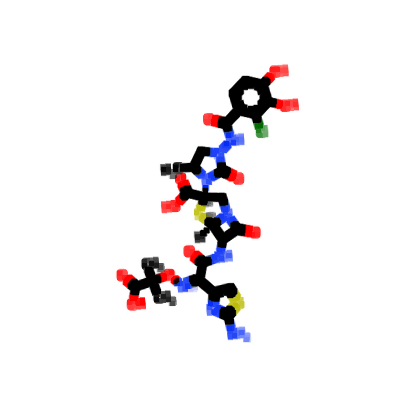 CC1CN(NC(=O)c2ccc(O)c(O)c2Cl)C(=O)N1[C@]1(C(=O)O)CN2C(=O)C(NC(=O)/C(=N\OC(C)(C)C(=O)O)c3csc(N)n3)[C@H]2S1